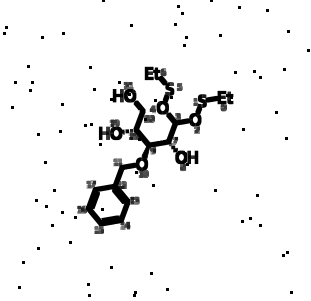 CCSOC(OSCC)[C@H](O)[C@@H](OCc1ccccc1)[C@H](O)CO